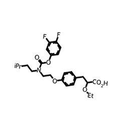 CCOC(Cc1ccc(OCCN(CCC(C)C)C(=O)Oc2ccc(F)c(F)c2)cc1)C(=O)O